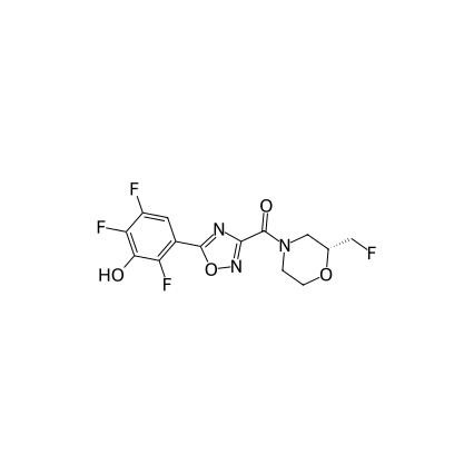 O=C(c1noc(-c2cc(F)c(F)c(O)c2F)n1)N1CCO[C@@H](CF)C1